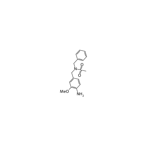 COc1cc(CN(Cc2ccccc2)S(C)(=O)=O)ccc1N